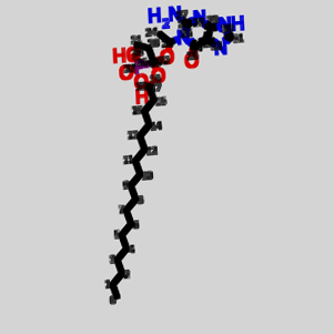 CCCCCCCCCCCCCCCCCCOC(CC)(OC(C)n1c(N)nc2[nH]cnc2c1=O)P(=O)(O)O